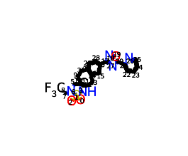 O=S1(=O)NC2(CN1CC(F)(F)F)C1CCC2Cc2cc(-c3noc(-c4ccccn4)n3)ccc2C1